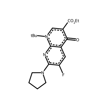 CCOC(=O)c1cn(C(C)(C)C)c2nc(N3CCCC3)c(F)cc2c1=O